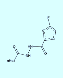 CCCCCCC(=O)NNC(=O)c1ccc(Br)s1